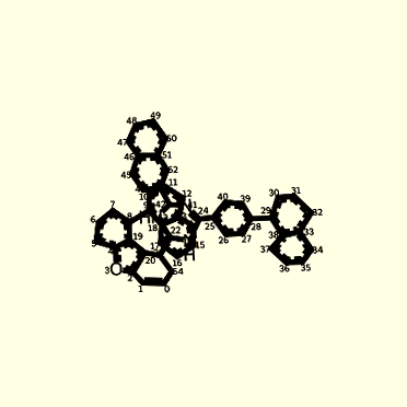 C1=Cc2oc3cccc(-c4cccc5ccccc45)c3c2C(C2NC(c3ccc(-c4cccc5ccccc45)cc3)=NC(c3ccc4ccccc4c3)N2)C1